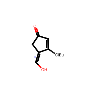 CC(C)COC1=CC(=O)C/C1=C/O